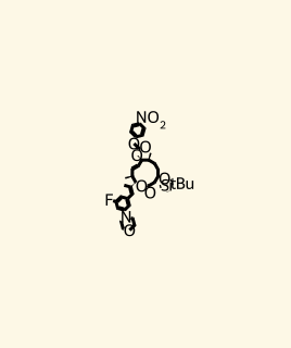 C/C(=C\c1cc(F)cc(N2CCOCC2)c1)[C@H]1OC(=O)C[C@H](O[Si](C)(C)C(C)(C)C)CC[C@H](C)[C@@H](OC(=O)Oc2ccc([N+](=O)[O-])cc2)/C=C/[C@@H]1C